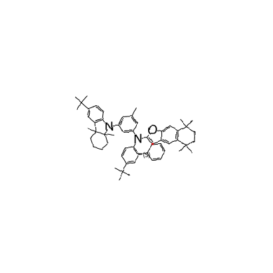 Cc1cc(N(c2cc3cc4c(cc3o2)C(C)(C)CCC4(C)C)c2ccc(C(C)(C)C)cc2[C@@H]2C=CC=CC2)cc(N2c3ccc(C(C)(C)C)cc3C3(C)CCCCC23C)c1